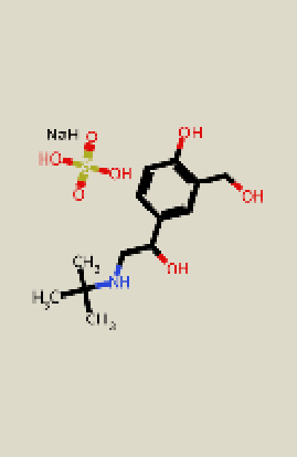 CC(C)(C)NCC(O)c1ccc(O)c(CO)c1.O=S(=O)(O)O.[NaH]